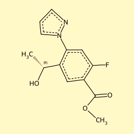 COC(=O)c1cc([C@@H](C)O)c(-n2cccn2)cc1F